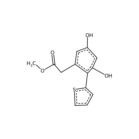 COC(=O)Cc1cc(O)cc(O)c1-c1cccs1